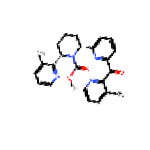 Cc1cccnc1C(=O)c1cccc([C@H]2CCC[C@@H](c3ncccc3C)N2C(=O)OC(C)(C)C)n1